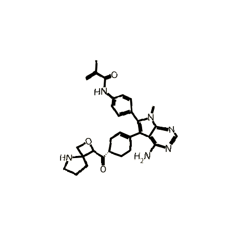 C=C(C)C(=O)Nc1ccc(-c2c(C3=CC[C@@H](C(=O)C4OCC45CCCN5)CC3)c3c(N)ncnc3n2C)cc1